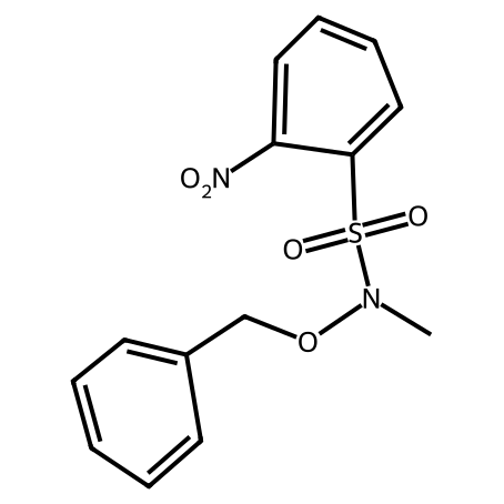 CN(OCc1ccccc1)S(=O)(=O)c1ccccc1[N+](=O)[O-]